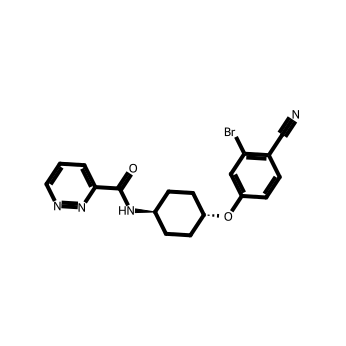 N#Cc1ccc(O[C@H]2CC[C@H](NC(=O)c3cccnn3)CC2)cc1Br